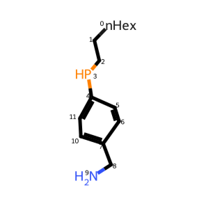 CCCCCCCCPc1ccc(CN)cc1